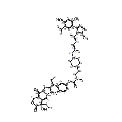 CCc1c2c(nc3ccc(OC(=O)N(C)CCN4CCN(C/C(C)=C/C=C(\C)n5c(O)nnc5-c5cc(C(C)C)c(O)cc5O)CC4)cc13)-c1cc3c(c(=O)n1C2)COC(=O)[C@]3(O)CC